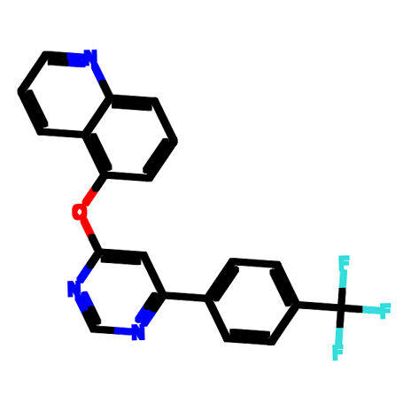 FC(F)(F)c1ccc(-c2cc(Oc3cccc4ncccc34)ncn2)cc1